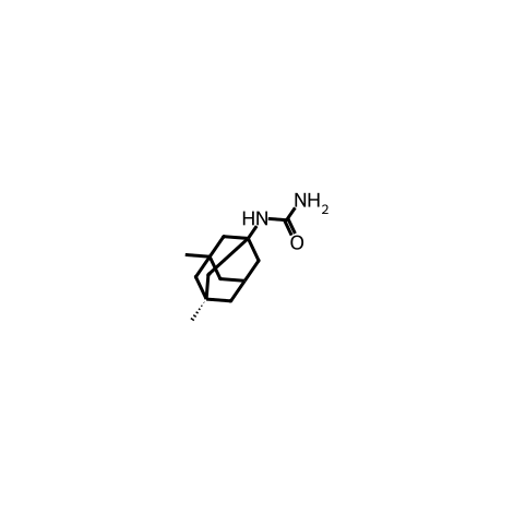 CC12CC3CC(NC(N)=O)(C1)C[C@@](C)(C3)C2